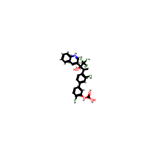 CC(c1ccc(-c2ccc(F)c(OC(=O)O)c2)cc1Cl)C(O)(c1cnc2ccccc2c1)C(F)(F)F